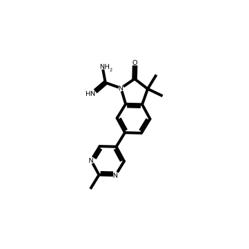 Cc1ncc(-c2ccc3c(c2)N(C(=N)N)C(=O)C3(C)C)cn1